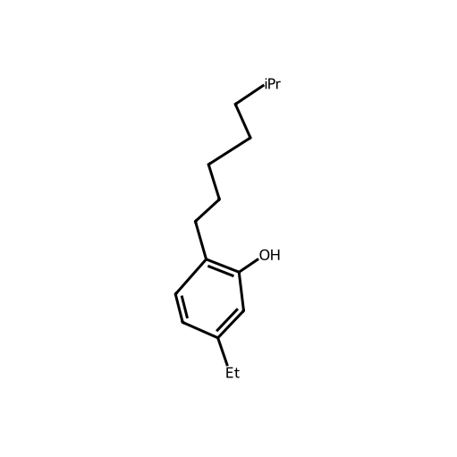 CCc1ccc(CCCCCC(C)C)c(O)c1